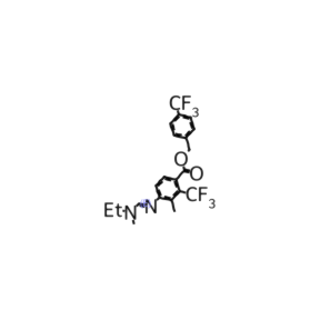 CCN(C)/C=N/c1ccc(C(=O)OCc2ccc(C(F)(F)F)cc2)c(C(F)(F)F)c1C